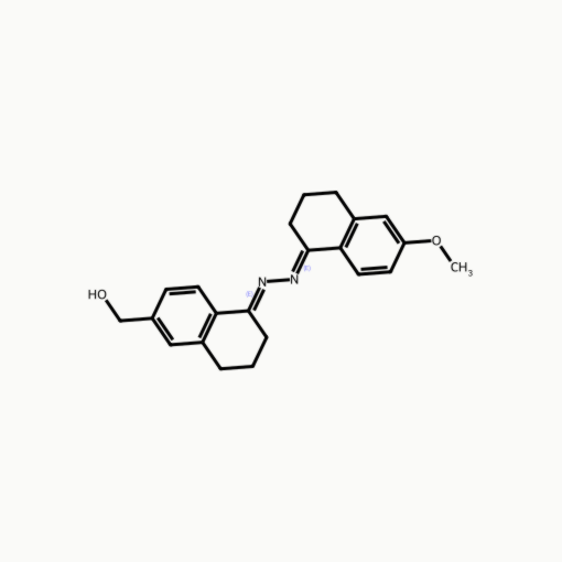 COc1ccc2c(c1)CCC/C2=N\N=C1/CCCc2cc(CO)ccc21